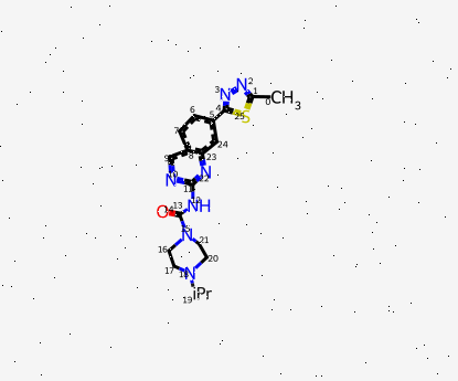 Cc1nnc(-c2ccc3cnc(NC(=O)N4CCN(C(C)C)CC4)nc3c2)s1